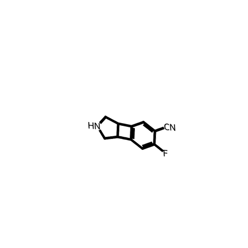 N#Cc1cc2c(cc1F)C1CNCC21